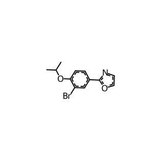 CC(C)Oc1ccc(-c2ncco2)cc1Br